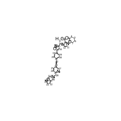 C[C@H](OC1CCCCO1)c1nccn1Cc1cc(-c2ccc(C#Cc3ccc(CNCc4ccno4)nc3)cc2)on1